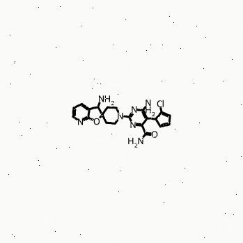 NC(=O)c1nc(N2CCC3(CC2)Oc2ncccc2C3N)nc(N)c1C1C=CC=C1Cl